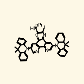 CCCNc1nc2c3cc(N4c5ccccc5C(C)(C)c5ccccc54)cnc3c3ncc(N4c5ccccc5C(C)(C)C5C=CC=CC54)cc3c2nc1I